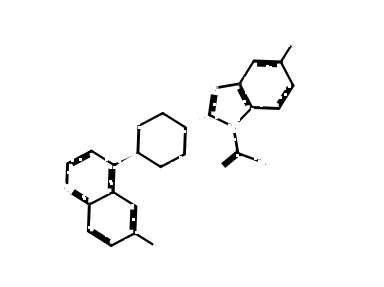 NC(=O)n1c2ccc(C(=O)O)cc2nc1[C@H]1CC[C@H](c2ccnc3ccc(F)cc32)CC1